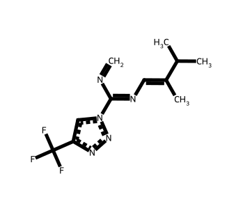 C=N/C(=N\C=C(/C)C(C)C)n1cc(C(F)(F)F)nn1